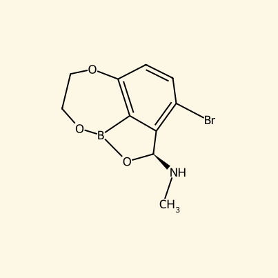 CN[C@H]1OB2OCCOc3ccc(Br)c1c32